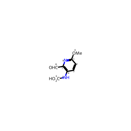 COc1ccc(NC(=O)O)c(C=O)n1